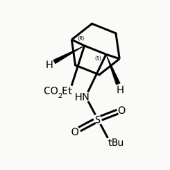 CCOC(=O)[C@@H]1C2CCC(CC2)[C@@H]1NS(=O)(=O)C(C)(C)C